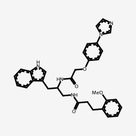 COc1ccccc1CCC(=O)NCC(Cc1c[nH]c2ccccc12)NC(=O)COc1ccc(-n2ccnc2)cc1